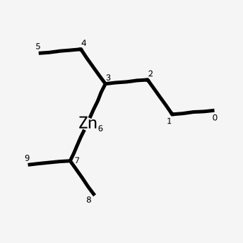 CCC[CH](CC)[Zn][CH](C)C